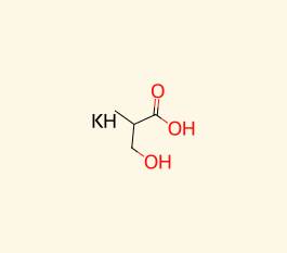 CC(CO)C(=O)O.[KH]